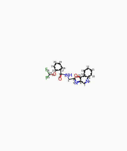 O=C(NCc1nc2cnc3ccccc3c2o1)c1ccccc1OC(F)F